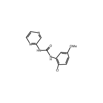 COc1ccc(Cl)c(NC(=O)Nc2cnccn2)c1